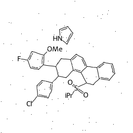 COc1cc(F)ccc1C1Cc2ccc3c(c2CC1c1ccc(Cl)cc1)C(S(=O)(=O)C(C)C)Cc1ccccc1-3.c1cc[nH]c1